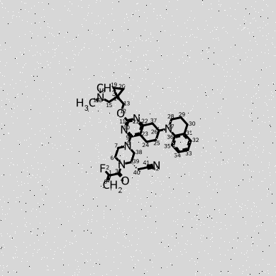 C=C(F)C(=O)N1CCN(c2nc(OCC3(CN(C)C)CC3)nc3c2CCC(N2CCCc4ccccc42)C3)C[C@@H]1CC#N